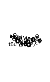 COc1c(NC(=O)c2cc3cccc(CN4CCN(C(=O)[C@@H]5CCCN5C)CC4)c3n2C)cc(C(C)(C)C)cc1NS(=O)(=O)C1CC1